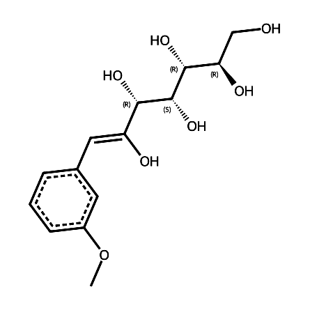 COc1cccc(C=C(O)[C@H](O)[C@@H](O)[C@H](O)[C@H](O)CO)c1